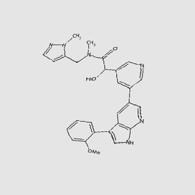 COc1ccccc1-c1c[nH]c2ncc(-c3cncc(C(O)C(=O)N(C)Cc4ccnn4C)c3)cc12